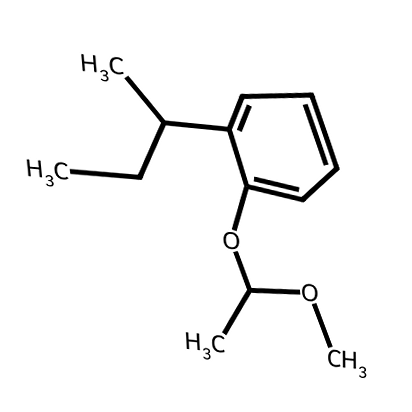 CCC(C)c1ccccc1OC(C)OC